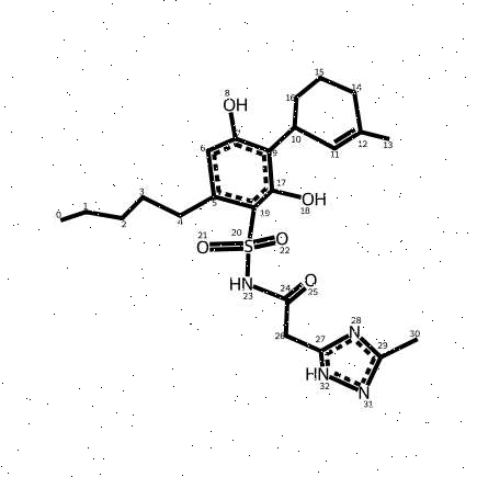 CCCCCc1cc(O)c(C2C=C(C)CCC2)c(O)c1S(=O)(=O)NC(=O)Cc1nc(C)n[nH]1